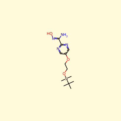 CC(C)(C)[Si](C)(C)OCCOc1cnc(/C(N)=N/O)nc1